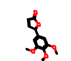 COc1cc(C2C=CC(=O)O2)cc(OC)c1OC